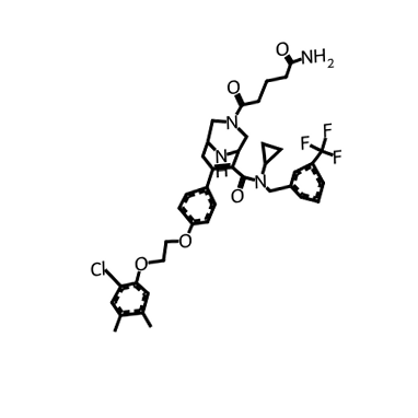 Cc1cc(Cl)c(OCCOc2ccc(C3=C(C(=O)N(Cc4cccc(C(F)(F)F)c4)C4CC4)C4CN(C(=O)CCCC(N)=O)CC(C3)N4)cc2)cc1C